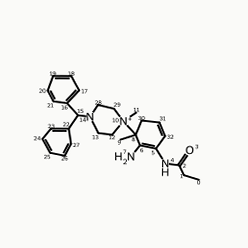 CCC(=O)NC1=C(N)C(C)([N+]2(C)CCN(C(c3ccccc3)c3ccccc3)CC2)CC=C1